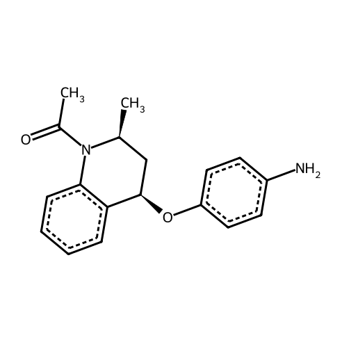 CC(=O)N1c2ccccc2[C@H](Oc2ccc(N)cc2)C[C@@H]1C